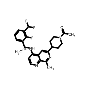 CC(=O)N1CCC(c2cc3c(N[C@H](C)c4cccc(C(F)F)c4F)ccnc3c(C)n2)CC1